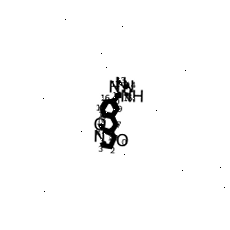 O=C1CC=NC2=C1Cc1cc(-c3nnn[nH]3)ccc1O2